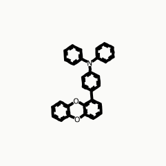 c1ccc(N(c2ccccc2)c2ccc(-c3cccc4c3Oc3ccccc3O4)cc2)cc1